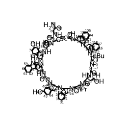 CCCC[C@H]1C(=O)N(C)[C@H](C)C(=O)N[C@@H](CC(O)=P)C(=O)N[C@@H](C(C)C)C(=O)N(C)[C@@H](Cc2ccccc2)C(=O)N[C@@H](Cc2ccc(O)cc2)C(=O)N(C)CC(=O)N[C@@H](Cc2c[nH]c3ccccc23)C(=O)N[C@@H](Cc2ccc(O)cc2)C(=O)N[C@@H](CC(C)C)C(=O)N[C@H](C(=O)NCC(N)=O)CSCC(=O)N[C@@H](Cc2ccccc2)C(=O)N(C)[C@@H](Cc2ccccc2)C(=O)N1C